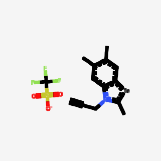 C#CC[n+]1c(C)[te]c2cc(C)c(C)cc21.O=S(=O)([O-])C(F)(F)F